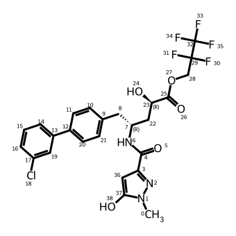 Cn1nc(C(=O)N[C@H](Cc2ccc(-c3cccc(Cl)c3)cc2)C[C@@H](O)C(=O)OCC(F)(F)C(F)(F)F)cc1O